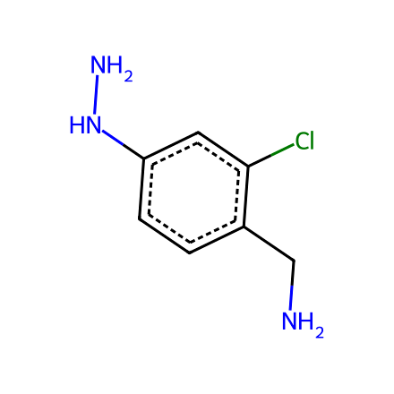 NCc1ccc(NN)cc1Cl